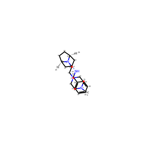 CC(=O)N1CCN(CCN2[C@@H]3CC[C@H]2C[C@H](NCc2ccccc2)C3)CC1